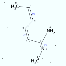 C\C=C/C=C\C(N)=N/C